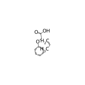 C=CC.O=C(O)COc1ccccc1